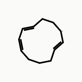 [CH]1/C=C/CCC/C=C\C=C\CC1